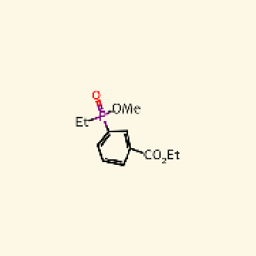 CCOC(=O)c1cccc(P(=O)(CC)OC)c1